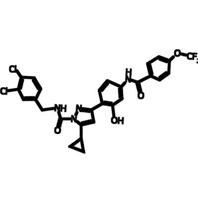 O=C(Nc1ccc(-c2cc(C3CC3)n(C(=O)NCc3ccc(Cl)c(Cl)c3)n2)c(O)c1)c1ccc(OC(F)(F)F)cc1